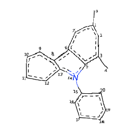 Cc1cc(C)c2c(c1)c1ccccc1n2-c1ccccc1